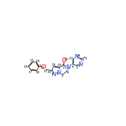 Cc1ncc(N2CCn3nc(COc4ccccc4)cc3C2=O)cn1